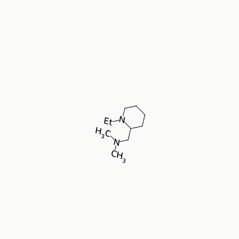 CCN1CCCCC1CN(C)C